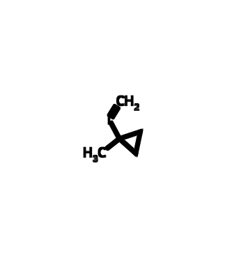 C=IC1(C)CC1